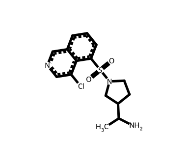 CC(N)C1CCN(S(=O)(=O)c2cccc3cncc(Cl)c23)C1